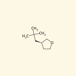 CC(C)(C)C[C@@H]1CCOC1